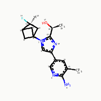 Nc1ncc(-c2cn(C34CC(C3)[C@@H](F)C4)c([C@@H](O)C(F)(F)F)n2)cc1C(F)(F)F